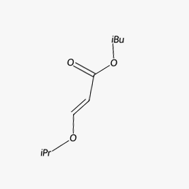 CCC(C)OC(=O)C=COC(C)C